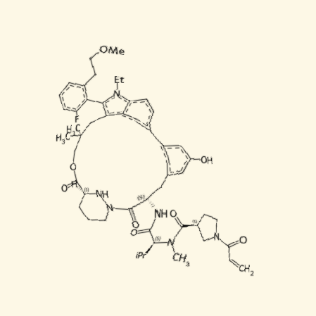 C=CC(=O)N1CC[C@H](C(=O)N(C)[C@H](C(=O)N[C@H]2Cc3cc(O)cc(c3)-c3ccc4c(c3)c(c(-c3c(F)cccc3CCOC)n4CC)CC(C)(C)COC(=O)[C@@H]3CCCN(N3)C2=O)C(C)C)C1